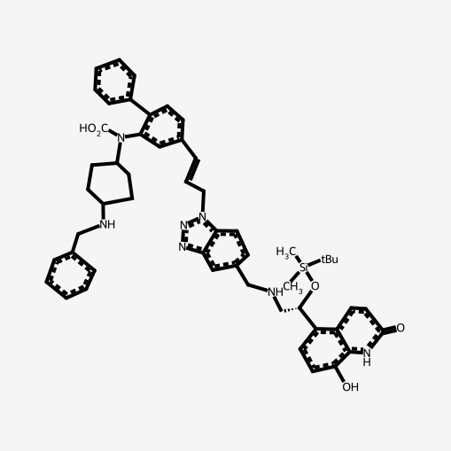 CC(C)(C)[Si](C)(C)O[C@@H](CNCc1ccc2c(c1)nnn2C/C=C/c1ccc(-c2ccccc2)c(N(C(=O)O)C2CCC(NCc3ccccc3)CC2)c1)c1ccc(O)c2[nH]c(=O)ccc12